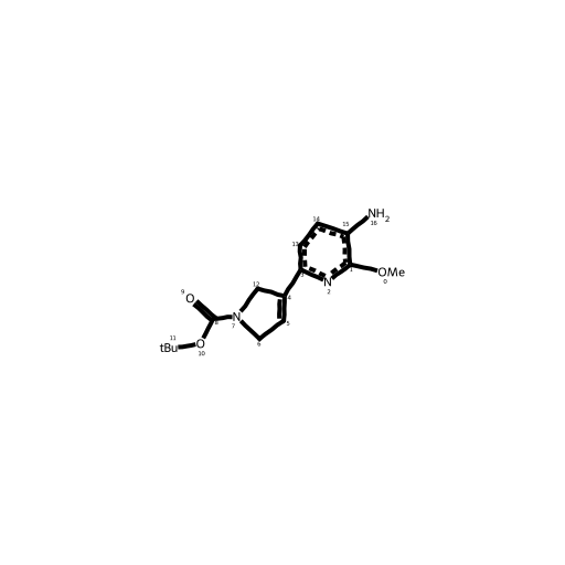 COc1nc(C2=CCN(C(=O)OC(C)(C)C)C2)ccc1N